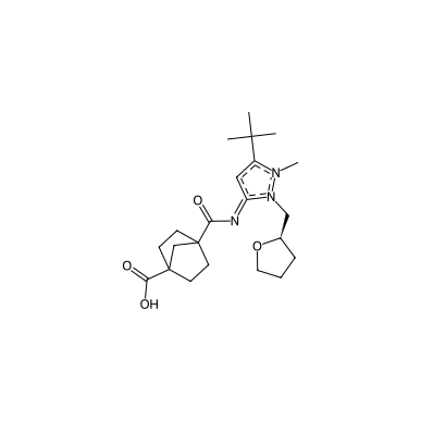 Cn1c(C(C)(C)C)cc(=NC(=O)C23CCC(C(=O)O)(CC2)C3)n1C[C@H]1CCCO1